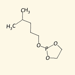 CC(C)CCCOP1OCCO1